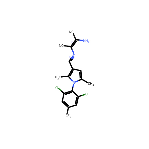 Cc1cc(/C=N/C(C#N)=C(\N)C#N)c(C)n1-c1c(Cl)cc(C(F)(F)F)cc1Cl